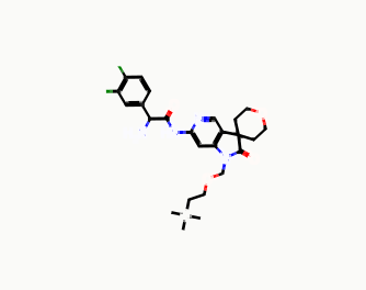 C[Si](C)(C)CCOCN1C(=O)C2(CCOCC2)c2cnc(NC(=O)C(N)c3ccc(Cl)c(F)c3)cc21